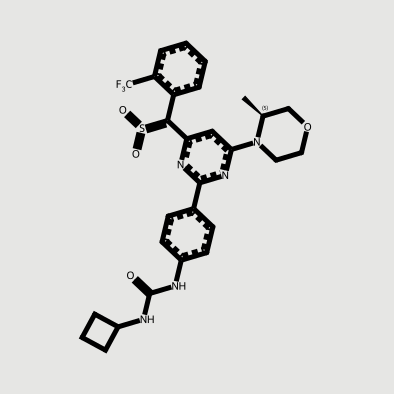 C[C@H]1COCCN1c1cc(C(c2ccccc2C(F)(F)F)=S(=O)=O)nc(-c2ccc(NC(=O)NC3CCC3)cc2)n1